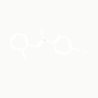 Cc1ccccc1C=[N+]([O-])c1ccc(C(F)(F)F)cc1